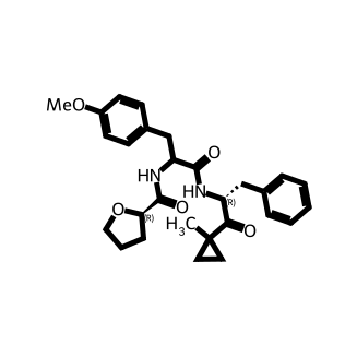 COc1ccc(CC(NC(=O)[C@H]2CCCO2)C(=O)N[C@H](Cc2ccccc2)C(=O)C2(C)CC2)cc1